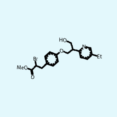 CCc1ccc(C(CO)COc2ccc(CC(Br)C(=O)OC)cc2)nc1